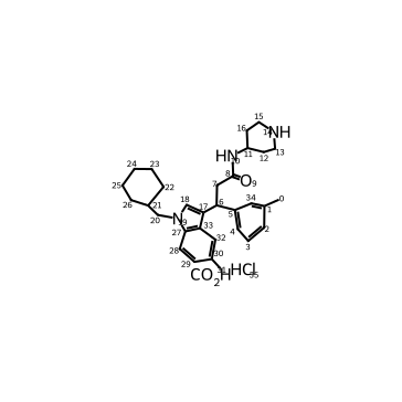 Cc1cccc(C(CC(=O)NC2CCNCC2)c2cn(CC3CCCCC3)c3ccc(C(=O)O)cc23)c1.Cl